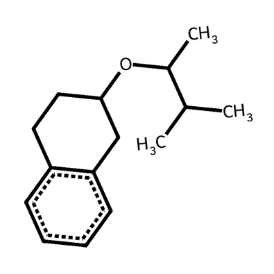 CC(C)C(C)OC1CCc2ccccc2C1